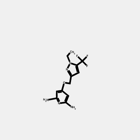 CCn1nc(COc2cc(N)nc(N)c2)cc1C(F)(F)F